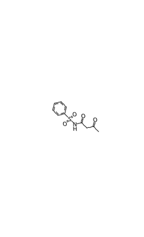 CC(=O)CC(=O)NS(=O)(=O)c1ccccc1